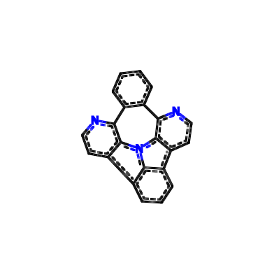 c1ccc2c(c1)-c1nccc3c4cccc5c6ccnc-2c6n(c13)c45